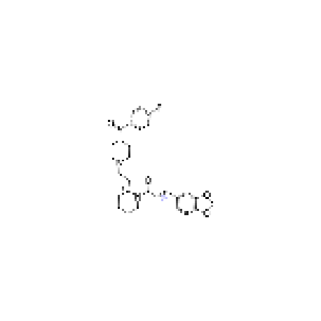 O=C(c1ccc(F)cc1)C1CCN(CC[C@@H]2CCCCN2C(=O)/C=C/c2ccc3c(c2)OCO3)CC1